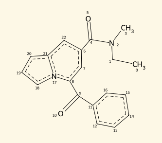 CCN(C)C(=O)c1cc(C(=O)c2ccccc2)n2cccc2c1